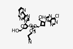 N#CCCOP(=S)(OC[C@H]1C[C@@H](n2cnc3c(Cl)ncnc32)[C@@H]1CO)O[C@@H]1C[C@@H](CO)O[C@H]1n1cnc2c1ncn1ccnc21